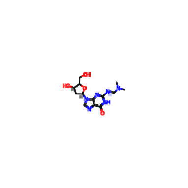 CN(C)/C=N/c1nc2c(ncn2[C@H]2C[C@@H](O)C(CO)O2)c(=O)[nH]1